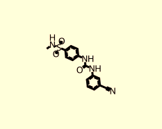 CNS(=O)(=O)c1ccc(NC(=O)Nc2cccc(C#N)c2)cc1